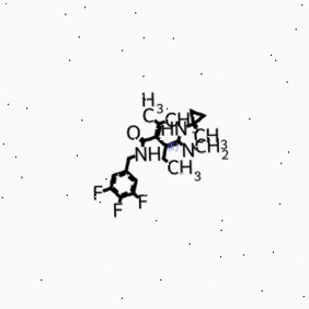 C=N/C(NC1(C)CC1)=C(\CC)C(C(=O)NCc1cc(F)c(F)c(F)c1)=C(C)C